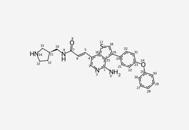 Nc1ncc(C=CC(=O)NC[C@H]2CCNC2)c2scc(-c3ccc(Oc4ccccc4)cc3)c12